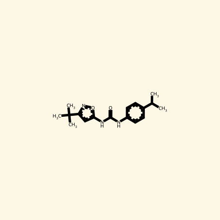 CC(C)c1ccc(NC(=O)Nc2cc(C(C)(C)C)no2)cc1